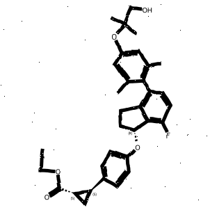 CCOC(=O)[C@H]1C[C@@H]1c1ccc(O[C@@H]2CCc3c(-c4c(C)cc(OC(C)(C)CO)cc4C)ccc(F)c32)cc1